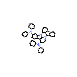 c1ccc(N(c2ccccc2)c2ccc3c4c(N(c5ccccc5)c5ccccc5)cc[n+]5c4n(c3c2)-c2cccc3c2C5c2ccccc2-3)cc1